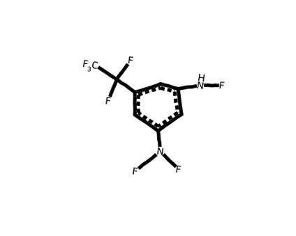 FNc1cc(N(F)F)cc(C(F)(F)C(F)(F)F)c1